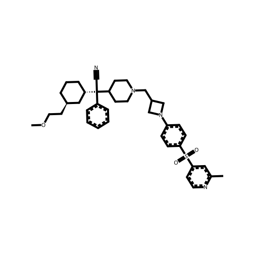 COCC[C@H]1CCC[C@H](C(C#N)(c2ccccc2)C2CCN(CC3CN(c4ccc(S(=O)(=O)c5ccnc(C)c5)cc4)C3)CC2)C1